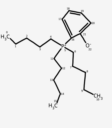 CCCCC[P+](CCCCC)(CCCCC)c1ccccc1[O-]